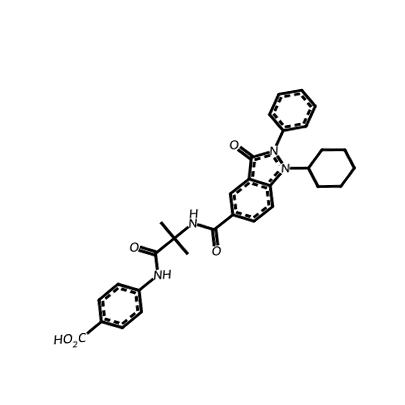 CC(C)(NC(=O)c1ccc2c(c1)c(=O)n(-c1ccccc1)n2C1CCCCC1)C(=O)Nc1ccc(C(=O)O)cc1